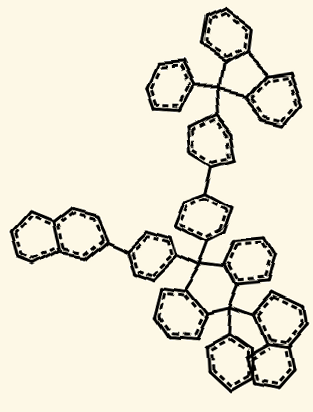 c1ccc(C2(c3ccc(-c4ccc(C5(c6ccc(-c7ccc8ccccc8c7)cc6)c6ccccc6C(c6ccccc6)(c6cccc7ccccc67)c6ccccc65)cc4)cc3)c3ccccc3-c3ccccc32)cc1